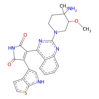 COC1CN(c2nc(C3=C(c4c[nH]c5sccc45)C(=O)NC3=O)c3ccccc3n2)CCC1(C)N